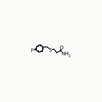 NC(=O)[CH]CSCc1ccc(F)cc1